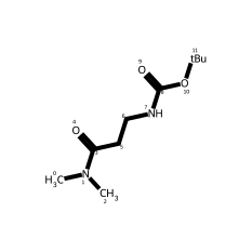 CN(C)C(=O)CCNC(=O)OC(C)(C)C